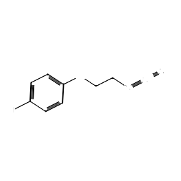 [N-]=[N+]=NCCOc1ccc(I)cc1